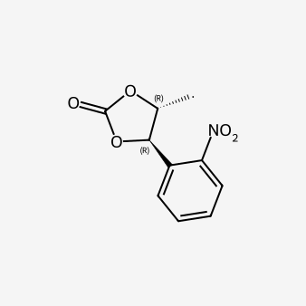 [CH2][C@H]1OC(=O)O[C@@H]1c1ccccc1[N+](=O)[O-]